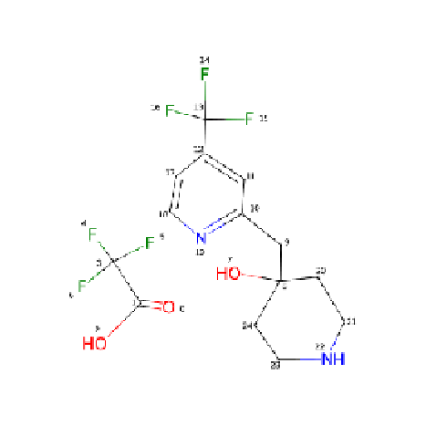 O=C(O)C(F)(F)F.OC1(Cc2cc(C(F)(F)F)ccn2)CCNCC1